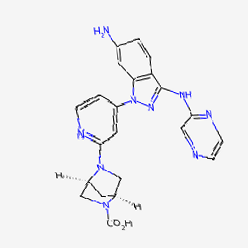 Nc1ccc2c(Nc3cnccn3)nn(-c3ccnc(N4C[C@@H]5C[C@H]4CN5C(=O)O)c3)c2c1